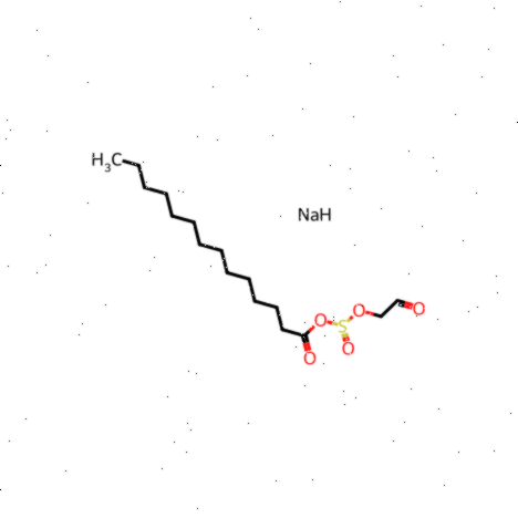 CCCCCCCCCCCCCC(=O)OS(=O)OCC=O.[NaH]